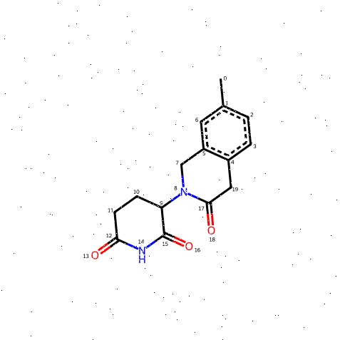 Cc1ccc2c(c1)CN(C1CCC(=O)NC1=O)C(=O)C2